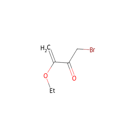 C=C(OCC)C(=O)CBr